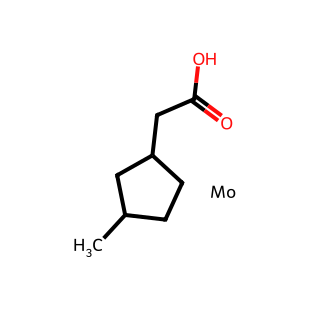 CC1CCC(CC(=O)O)C1.[Mo]